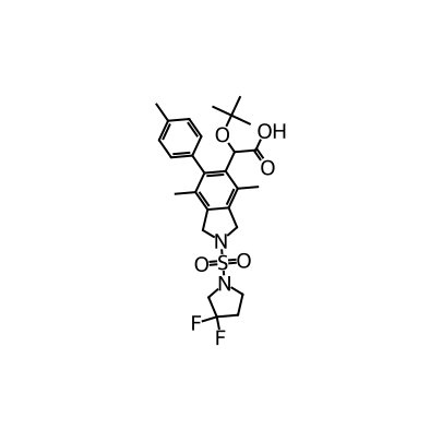 Cc1ccc(-c2c(C)c3c(c(C)c2C(OC(C)(C)C)C(=O)O)CN(S(=O)(=O)N2CCC(F)(F)C2)C3)cc1